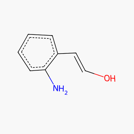 Nc1ccccc1C=CO